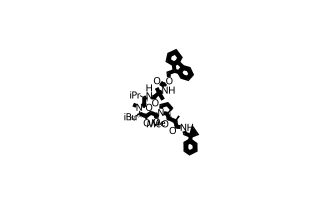 CC[C@H](C)[C@@H]([C@@H](CC(=O)N1CCC[C@H]1[C@H](OC)[C@@H](C)C(=O)NCC1(c2ccccc2)CC1)OC)N(C)C(=O)[C@@H](NC(=O)C(C)(C)NC(=O)OCC1c2ccccc2-c2ccccc21)C(C)C